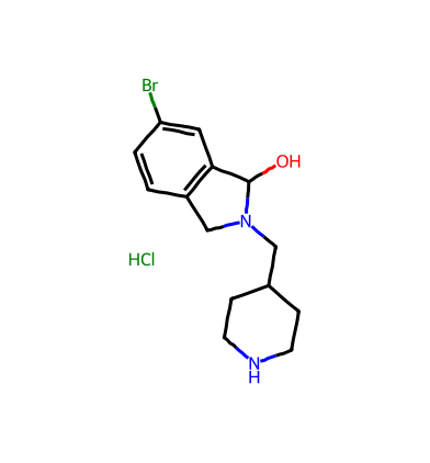 Cl.OC1c2cc(Br)ccc2CN1CC1CCNCC1